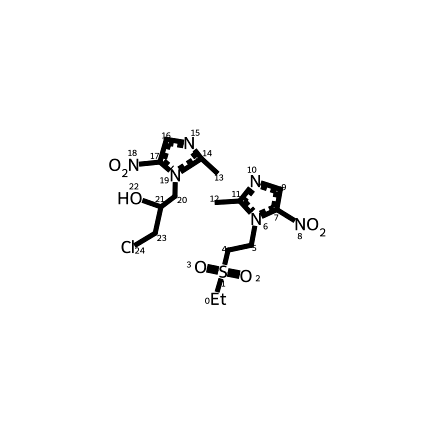 CCS(=O)(=O)CCn1c([N+](=O)[O-])cnc1C.Cc1ncc([N+](=O)[O-])n1CC(O)CCl